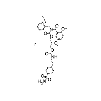 CC[n+]1ccccc1CN(C(=O)OCC(COC(=O)NCCc1ccc(S(N)(=O)=O)cc1)OC)C(=O)c1ccccc1OC.[I-]